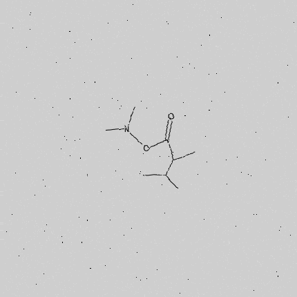 CC(C)C(C)C(=O)ON(C)C